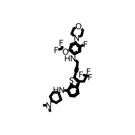 CN(C)C1CCC(Nc2cccc3c(CC(F)(F)F)c(C#CCNc4cc(F)c(N5CCOCC5)cc4OC(F)F)sc23)CC1